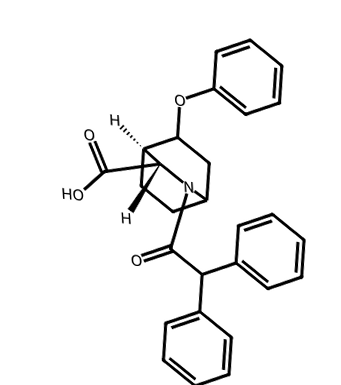 O=C(O)[C@@H]1[C@H]2CCC(CC2Oc2ccccc2)N1C(=O)C(c1ccccc1)c1ccccc1